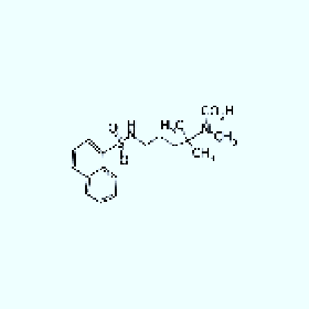 CN(C(=O)O)C(C)(C)CCCNS(=O)(=O)c1cccc2ccccc12